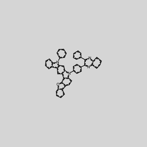 c1ccc(-c2nc3ccccc3nc2-c2ccc(-n3c4cc5c(cc4c4c6oc7ccccc7c6ccc43)c3ccccc3n5-c3ccccc3)cc2)cc1